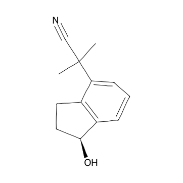 CC(C)(C#N)c1cccc2c1CC[C@@H]2O